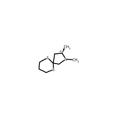 C[C@@H]1CC2(CN1C)SCCCS2